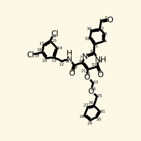 O=Cc1ccc(-c2nc(C(=O)NCc3cc(Cl)cc(Cl)c3)c(OCOCc3ccccc3)c(=O)[nH]2)cc1